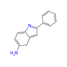 NC1=CC=C2N=C(c3ccccc3)C=C2C1